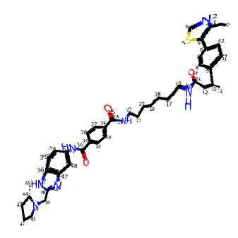 Cc1ncsc1-c1ccc([C@@H](C)CC(=O)NCCCCCCCNC(=O)c2ccc(C(=O)Nc3ccc4[nH]c(CN5CCC[C@@H]5C)nc4c3)cc2)cc1